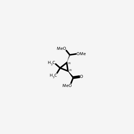 COC(=O)[C@@H]1[C@@H](C(OC)OC)C1(C)C